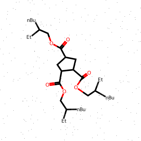 CCCCC(CC)COC(=O)C1CC(C(=O)OCC(CC)CCCC)C(C(=O)OCC(CC)CCCC)C1